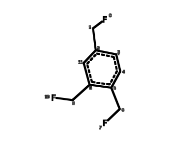 FCc1[c]cc(CF)c(CF)c1